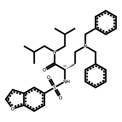 CC(C)CN(CC(C)C)C(=O)[C@H](CCN(Cc1ccccc1)Cc1ccccc1)NS(=O)(=O)c1ccc2occc2c1